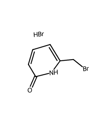 Br.O=c1cccc(CBr)[nH]1